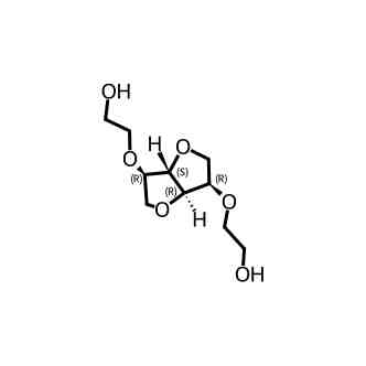 OCCO[C@@H]1CO[C@H]2[C@H]1OC[C@H]2OCCO